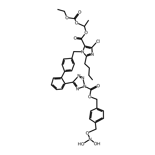 CCCCc1nc(Cl)c(C(=O)OC(C)OC(=O)OCC)n1Cc1ccc(-c2ccccc2-c2nnn(C(=O)OCc3ccc(CON(O)O)cc3)n2)cc1